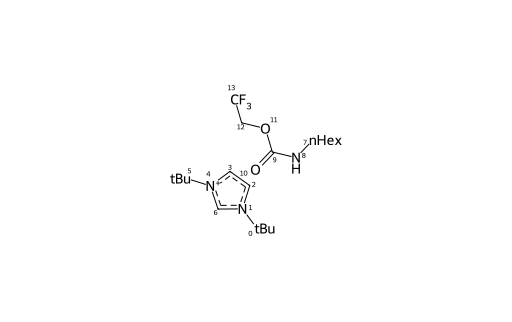 CC(C)(C)n1cc[n+](C(C)(C)C)c1.CCCCCCNC(=O)OCC(F)(F)F